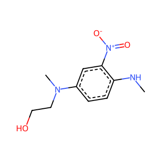 CNc1ccc(N(C)CCO)cc1[N+](=O)[O-]